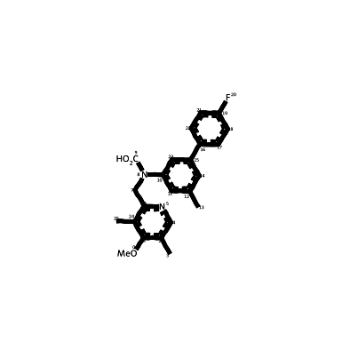 COc1c(C)cnc(CN(C(=O)O)c2cc(C)cc(-c3ccc(F)cc3)c2)c1C